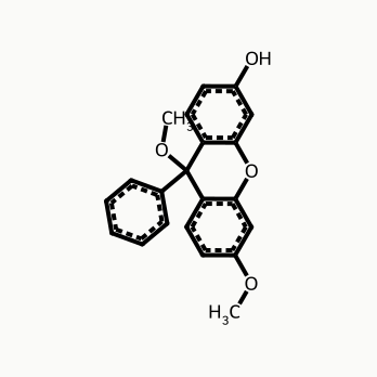 COc1ccc2c(c1)Oc1cc(O)ccc1C2(OC)c1ccccc1